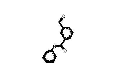 O=Cc1cccc(C(=O)[N]c2cc[c]cc2)c1